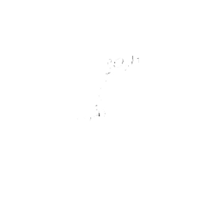 CCCCCC1OC1CCCCCCCCC=CC(=O)O